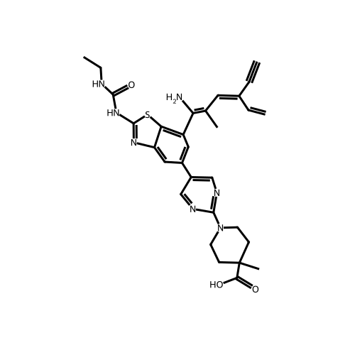 C#C/C(C=C)=C/C(C)=C(\N)c1cc(-c2cnc(N3CCC(C)(C(=O)O)CC3)nc2)cc2nc(NC(=O)NCC)sc12